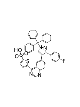 O=S(=O)(O)c1ccc(-c2ncnc3ccc(-c4cn(C(c5ccccc5)(c5ccccc5)c5ccccc5)nc4-c4ccc(F)cc4)cc23)s1